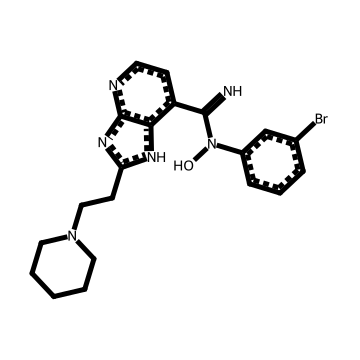 N=C(c1ccnc2nc(CCN3CCCCC3)[nH]c12)N(O)c1cccc(Br)c1